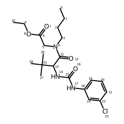 CCCCN(CC(=O)OCC)C(=O)C(NC(=O)Nc1cccc(Cl)c1)C(C)(C)C